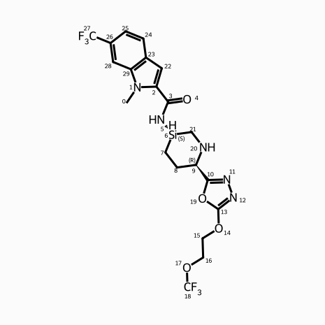 Cn1c(C(=O)N[Si@H]2CC[C@H](c3nnc(OCCOC(F)(F)F)o3)NC2)cc2ccc(C(F)(F)F)cc21